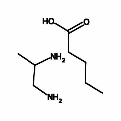 CC(N)CN.CCCCC(=O)O